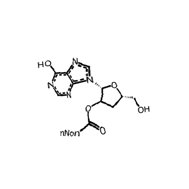 CCCCCCCCCC(=O)OC1C[C@@H](CO)O[C@H]1n1cnc2c(O)ncnc21